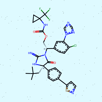 CC(C)(C)C[C@]1(c2ccc(-c3ccns3)cc2)NC(=N)N([C@H](COC(=O)NC2(C(F)(F)F)CC2)c2ccc(Cl)c(-n3cncn3)c2)C1=O